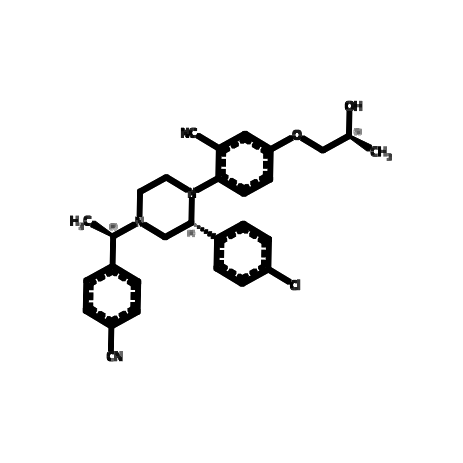 C[C@H](O)COc1ccc(N2CCN([C@H](C)c3ccc(C#N)cc3)C[C@H]2c2ccc(Cl)cc2)c(C#N)c1